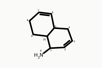 NC1C=CCC2C=CCCC12